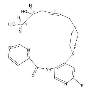 C[C@@H]1Nc2nccc(n2)C(=O)Nc2cnc(F)cc2N2CCN(C/C=C/C[C@@H]1O)CC2